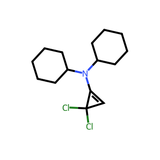 ClC1(Cl)C=C1N(C1CCCCC1)C1CCCCC1